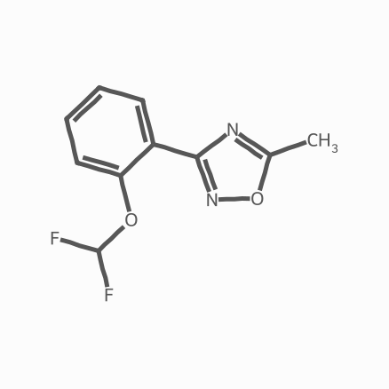 Cc1nc(-c2ccccc2OC(F)F)no1